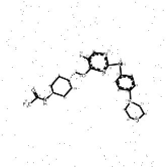 O=C(N[C@H]1CC[C@H](COc2nc(Nc3ccc(N4CCOCC4)cc3)ncc2F)CC1)C(F)(F)F